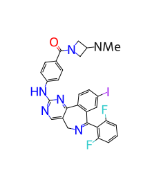 CNC1CN(C(=O)c2ccc(Nc3ncc4c(n3)-c3ccc(I)cc3C(c3c(F)cccc3F)=NC4)cc2)C1